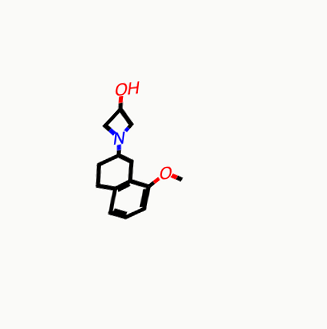 COc1cccc2c1CC(N1CC(O)C1)CC2